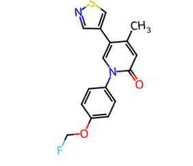 Cc1cc(=O)n(-c2ccc(OCF)cc2)cc1-c1cnsc1